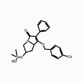 CC(C)(C)[Si](C)(C)OC1CC2C(OCc3ccc(C#N)cc3)=C(c3ccccc3)C(=O)N2C1